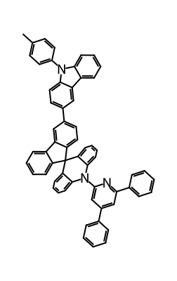 Cc1ccc(-n2c3ccccc3c3cc(-c4ccc5c(c4)-c4ccccc4C54c5ccccc5N(c5cc(-c6ccccc6)cc(-c6ccccc6)n5)c5ccccc54)ccc32)cc1